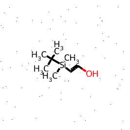 CC(C)(C)[Si](C)(C)C=CO